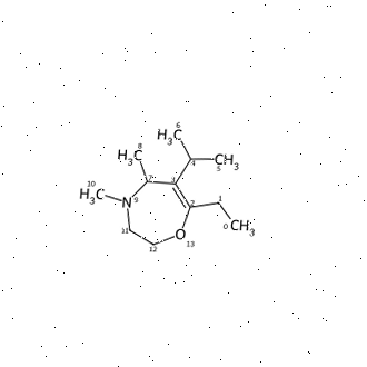 CCC1=C(C(C)C)C(C)N(C)CCO1